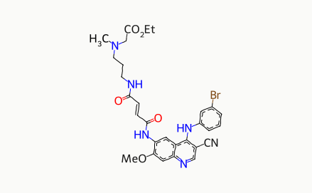 CCOC(=O)CN(C)CCCNC(=O)C=CC(=O)Nc1cc2c(Nc3cccc(Br)c3)c(C#N)cnc2cc1OC